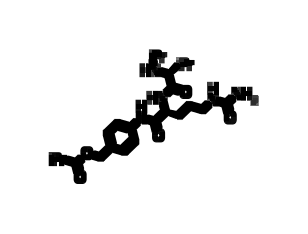 CC(C)N[C@H](C(=O)N[C@@H](CCCNC(N)=O)C(=O)Nc1ccc(COC(=O)C(C)C)cc1)C(C)C